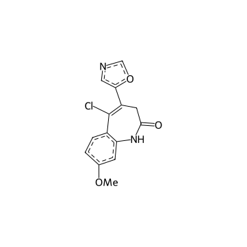 COc1ccc2c(c1)NC(=O)CC(c1cnco1)=C2Cl